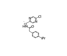 CC(C)c1ccc(CC(=O)N[C@H](C)c2cnc(Cl)cn2)cc1